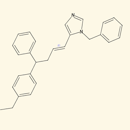 CCc1ccc(C(C/C=C/c2cncn2Cc2ccccc2)c2ccccc2)cc1